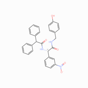 O=C(N[C@H](C(=O)NCc1ccc(O)cc1)c1cccc([N+](=O)[O-])c1)C(c1ccccc1)c1ccccc1